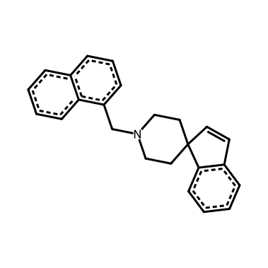 C1=CC2(CCN(Cc3cccc4ccccc34)CC2)c2ccccc21